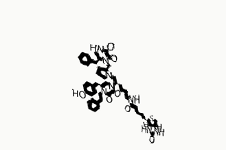 O=C(CCCC[C@@H]1SC[C@@H]2NC(=O)N[C@@H]21)NCCCC[C@@H](CN1CCC[C@H]1CN1C(=O)C(=O)NC[C@@H]1Cc1ccccc1)N1C[C@H](Cc2ccc(O)cc2)N(CCc2ccccc2)C(=O)C1=O